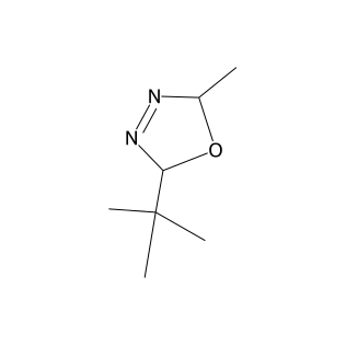 CC1N=NC(C(C)(C)C)O1